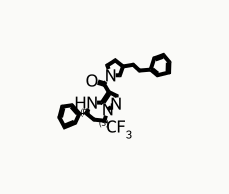 O=C(c1cnn2c1N[C@@H](c1ccccc1)C[C@H]2C(F)(F)F)N1CCC(CCc2ccccc2)C1